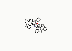 C=Cc1c(/C=C\C)n(-c2ccccc2N(c2cccc(-c3cccc4oc5c6ccccc6ccc5c34)c2)c2cccc3oc4ccccc4c23)c2ccccc12